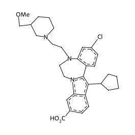 COCC1CCCN(CCN2CCn3c(c(C4CCCC4)c4ccc(C(=O)O)cc43)-c3ccc(Cl)cc32)C1